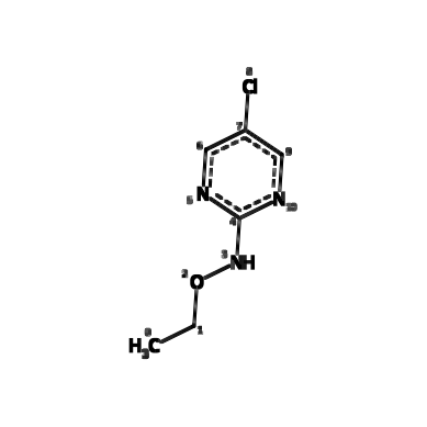 CCONc1ncc(Cl)cn1